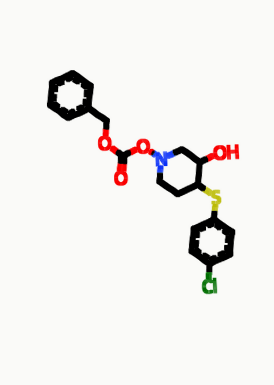 O=C(OCc1ccccc1)ON1CCC(Sc2ccc(Cl)cc2)C(O)C1